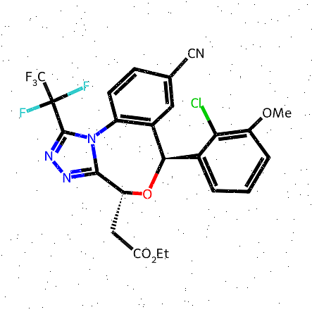 CCOC(=O)C[C@H]1O[C@H](c2cccc(OC)c2Cl)c2cc(C#N)ccc2-n2c1nnc2C(F)(F)C(F)(F)F